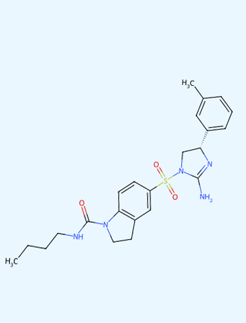 CCCCNC(=O)N1CCc2cc(S(=O)(=O)N3C[C@H](c4cccc(C)c4)N=C3N)ccc21